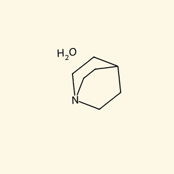 C1CN2CCC1CC2.O